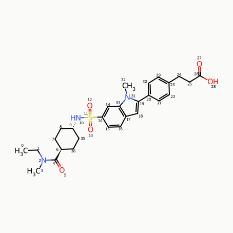 CCN(C)C(=O)[C@H]1CC[C@H](NS(=O)(=O)c2ccc3cc(-c4ccc(CCC(=O)O)cc4)n(C)c3c2)CC1